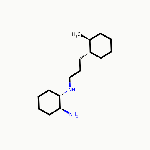 C[C@H]1CCCC[C@@H]1CCCN[C@H]1CCCC[C@@H]1N